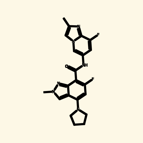 Cc1cn2cc(NC(=O)c3c(F)cc(N4CCCC4)c4cn(C)nc34)cc(F)c2n1